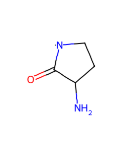 NC1CC[N]C1=O